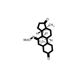 CO/N=C1\CC2CC(=O)CC[C@]2(C)[C@@H]2CC[C@]3(C)C(=O)CC[C@H]3[C@H]12